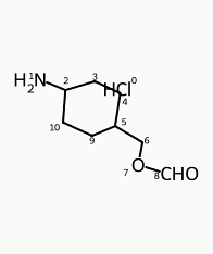 Cl.NC1CCC(COC=O)CC1